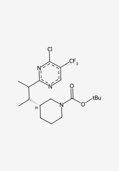 CC(c1ncc(C(F)(F)F)c(Cl)n1)C(C)[C@H]1CCCN(C(=O)OC(C)(C)C)C1